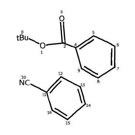 CC(C)(C)OC(=O)c1ccccc1.N#Cc1ccccc1